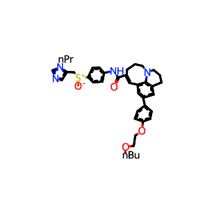 CCCCOCCOc1ccc(-c2cc3c4c(c2)CCCN4CCCC(C(=O)Nc2ccc([S@@+]([O-])Cc4cncn4CCC)cc2)=C3)cc1